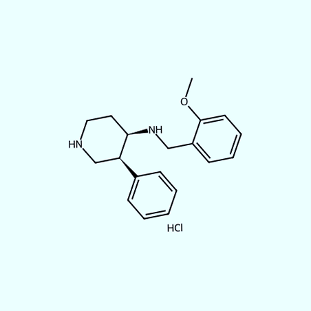 COc1ccccc1CN[C@@H]1CCNC[C@@H]1c1ccccc1.Cl